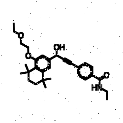 CCNC(=O)c1ccc(C#CC(O)c2cc(OCCOCC)c3c(c2)C(C)(C)CCC3(C)C)cc1